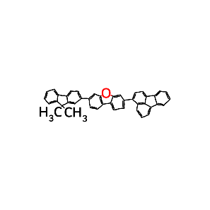 CC1(C)c2ccccc2-c2ccc(-c3ccc4c(c3)oc3cc(-c5ccc6c7c(cccc57)-c5ccccc5-6)ccc34)cc21